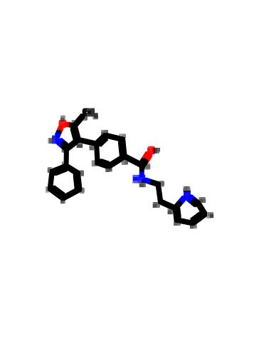 Cc1onc(-c2ccccc2)c1-c1ccc(C(=O)NCCc2ccccn2)cc1